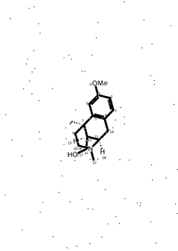 COc1ccc2c(c1)[C@]1(C)CCN(C)[C@H](C2)[C@H]1CO